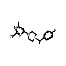 Cc1cc(N2CCN(C(C)c3ccc(F)cc3)CC2)nc(Cl)n1